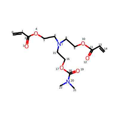 C=CC(=O)OCCN(CCOC(=O)C=C)CCOC(=O)N(C)C